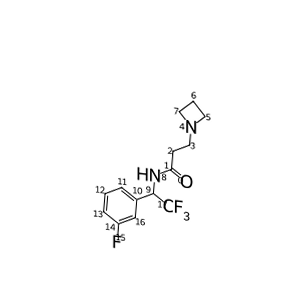 O=C(CCN1CCC1)NC(c1cccc(F)c1)C(F)(F)F